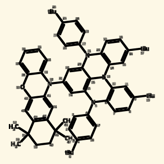 CC(C)(C)c1ccc(N2c3ccc(C(C)(C)C)cc3B3c4cc(C(C)(C)C)ccc4N(c4ccc(C(C)(C)C)cc4)c4cc(N5c6ccccc6Oc6cc7c(cc65)C(C)(C)CCC7(C)C)cc2c43)cc1